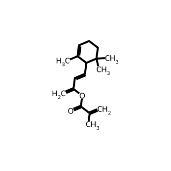 C=C(C=CC1C(C)=CCCC1(C)C)OC(=O)C(=C)C